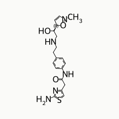 CN1C=C[C@H](C(O)CNCCc2ccc(NC(=O)Cc3csc(N)n3)cc2)O1